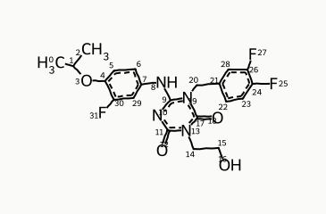 CC(C)Oc1ccc(Nc2nc(=O)n(CCO)c(=O)n2Cc2ccc(F)c(F)c2)cc1F